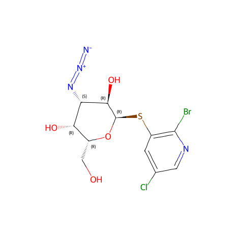 [N-]=[N+]=N[C@@H]1[C@@H](O)[C@@H](Sc2cc(Cl)cnc2Br)O[C@H](CO)[C@@H]1O